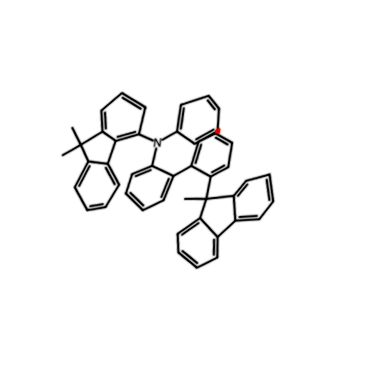 CC1(C)c2ccccc2-c2c(N(c3ccccc3)c3ccccc3-c3ccccc3C3(C)c4ccccc4-c4ccccc43)cccc21